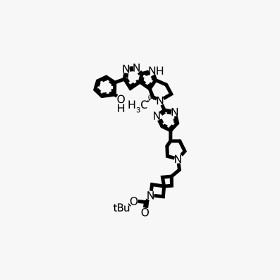 C[C@@H]1c2c([nH]c3nnc(-c4ccccc4O)cc23)CCN1c1ncc(C2CCN(CC3CC4(C3)CN(C(=O)OC(C)(C)C)C4)CC2)cn1